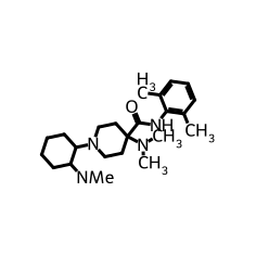 CNC1CCCCC1N1CCC(C(=O)Nc2c(C)cccc2C)(N(C)C)CC1